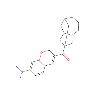 CN(C)c1ccc2c(c1)OCC(C(=O)C13CC4CCCC(C1)C(C4)C3)=C2